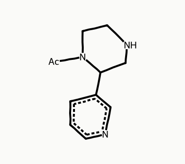 CC(=O)N1CCNCC1c1cccnc1